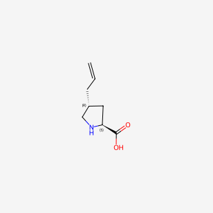 C=CC[C@H]1CN[C@H](C(=O)O)C1